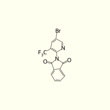 O=C1c2ccccc2C(=O)N1c1ncc(Br)cc1C(F)(F)F